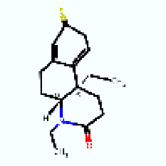 CCN1C(=O)CC[C@]2(CC)C3=CCC(=S)C=C3CC[C@@H]12